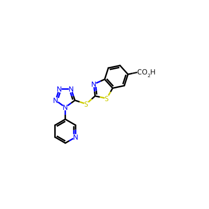 O=C(O)c1ccc2nc(Sc3nnnn3-c3cccnc3)sc2c1